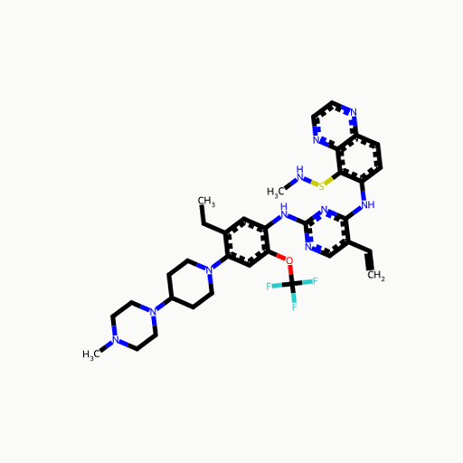 C=Cc1cnc(Nc2cc(CC)c(N3CCC(N4CCN(C)CC4)CC3)cc2OC(F)(F)F)nc1Nc1ccc2nccnc2c1SNC